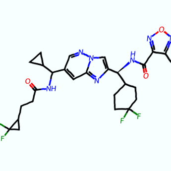 Cc1nonc1C(=O)N[C@H](c1cn2ncc(C(NC(=O)CCC3CC3(F)F)C3CC3)cc2n1)C1CCC(F)(F)CC1